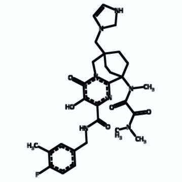 Cc1cc(CNC(=O)c2nc3n(c(=O)c2O)CC2(CN4C=CNC4)CCC3(N(C)C(=O)C(=O)N(C)C)CC2)ccc1F